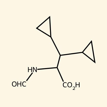 O=CNC(C(=O)O)C(C1CC1)C1CC1